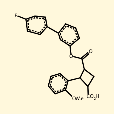 COc1ccccc1C1C(C(=O)O)CC1C(=O)Oc1cccc(-c2ccc(F)cc2)c1